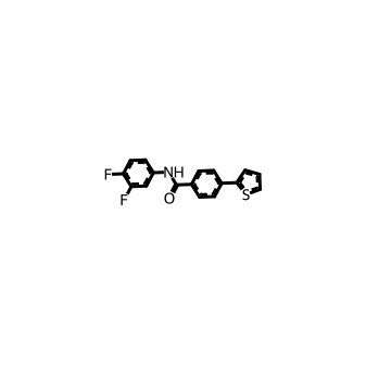 O=C(Nc1ccc(F)c(F)c1)c1ccc(-c2cccs2)cc1